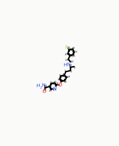 CC(CCc1ccc(Oc2ccc(C(N)=O)cn2)cc1)NCCc1cccc(F)c1